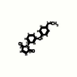 CCc1ccc(Oc2cccc(N3C(=O)C=CC3=O)c2)cc1